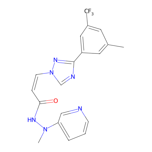 Cc1cc(-c2ncn(/C=C\C(=O)NN(C)c3cccnc3)n2)cc(C(F)(F)F)c1